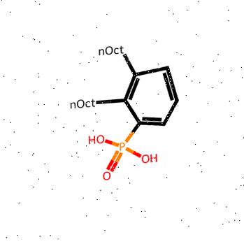 CCCCCCCCc1cccc(P(=O)(O)O)c1CCCCCCCC